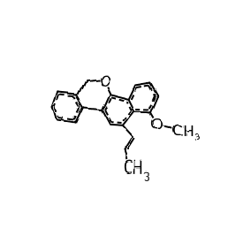 CC=Cc1cc2c(c3cccc(OC)c13)OCc1ccccc1-2